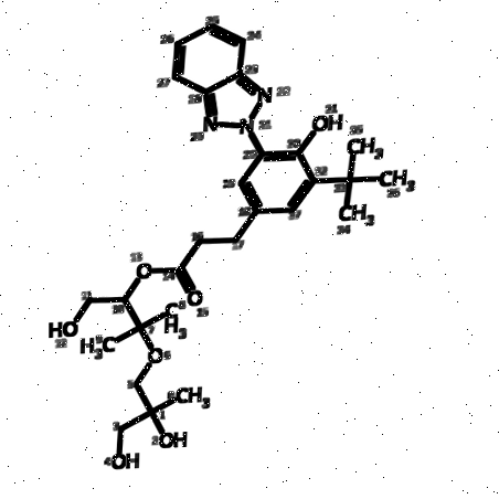 CC(O)(CO)COC(C)(C)C(CO)OC(=O)CCc1cc(-n2nc3ccccc3n2)c(O)c(C(C)(C)C)c1